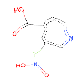 O=C(O)c1ccncc1F.O=NO